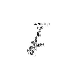 CC(=O)NC(CCC(=O)NCCOCCOCC(=O)NCCOCCOCC(=O)NCCCC[C@H](NCC(=O)[C@@H]1CSSC[C@H](N)C(=O)CN1)C(=O)CN[C@@H](Cc1ccc(O)cc1)C(N)=O)C(=O)O